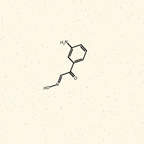 Nc1cccc(C(=O)C=NO)c1